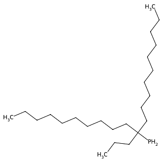 CCCCCCCCCCC(P)(CCC)CCCCCCCCCC